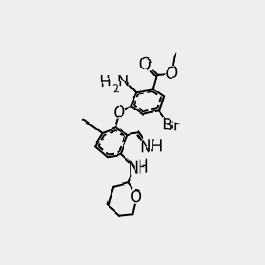 COC(=O)c1cc(Br)cc(Oc2c(C)ccc(NC3CCCCO3)c2C=N)c1N